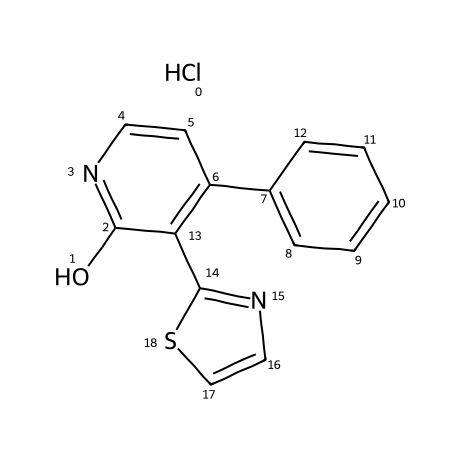 Cl.Oc1nccc(-c2ccccc2)c1-c1nccs1